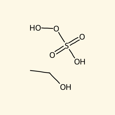 CCO.O=S(=O)(O)OO